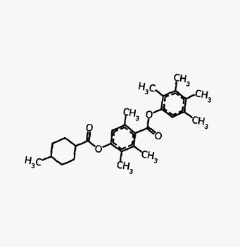 Cc1cc(OC(=O)c2c(C)cc(OC(=O)C3CCC(C)CC3)c(C)c2C)c(C)c(C)c1C